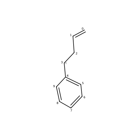 C=CC[C]c1ccccc1